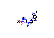 CCn1ncc2c(Nc3nc(N[C@@H](CNC(=O)OC(C)(C)C)Cn4cccn4)c(F)cc3C#N)cccc21